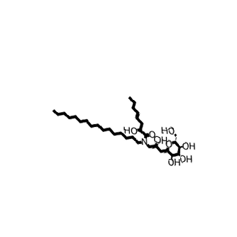 CCCCCCCCCCCCCCCCN(CC(O)CC1O[C@H](CO)[C@@H](O)[C@H](O)[C@H]1O)C(=O)C(O)CCCCCC